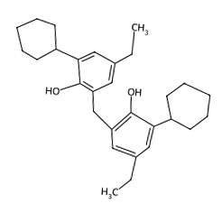 CCc1cc(Cc2cc(CC)cc(C3CCCCC3)c2O)c(O)c(C2CCCCC2)c1